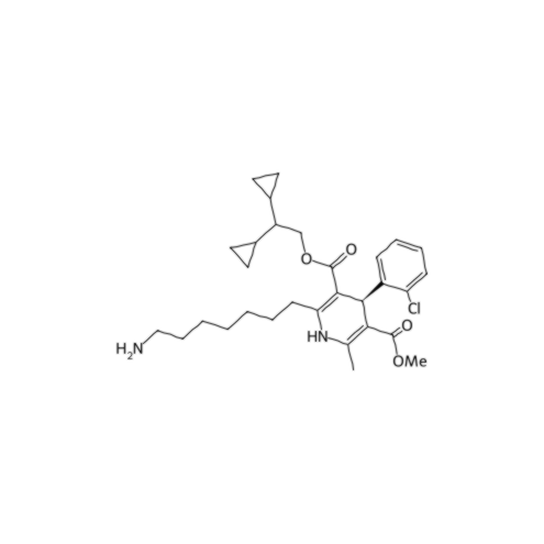 COC(=O)C1=C(C)NC(CCCCCCCN)=C(C(=O)OCC(C2CC2)C2CC2)[C@H]1c1ccccc1Cl